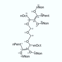 CCCCCCCCCOC(CCCCC)=C(OCCCCCCCCC)C(CCCCCCCC)OCOCOC(CCCCCCCC)C(OCCCCCCCCC)=C(CCCCC)OCCCCCCCCC